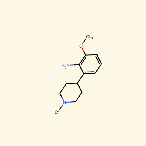 CCN1CCC(c2cccc(OC(F)(F)F)c2N)CC1